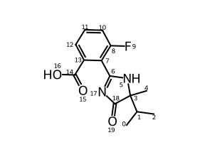 CC(C)C1(C)NC(c2c(F)cccc2C(=O)O)=NC1=O